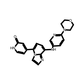 O=c1cc(-c2ccc(Nc3ccc(N4CCOCC4)nc3)c3nccn23)cc[nH]1